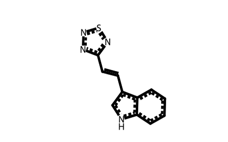 C(=C\c1c[nH]c2ccccc12)/c1nnsn1